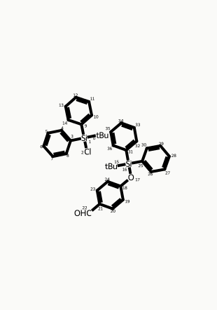 CC(C)(C)[Si](Cl)(c1ccccc1)c1ccccc1.CC(C)(C)[Si](Oc1ccc(C=O)cc1)(c1ccccc1)c1ccccc1